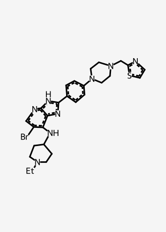 CCN1CCC(Nc2c(Br)cnc3[nH]c(-c4ccc(N5CCN(Cc6nccs6)CC5)cc4)nc23)CC1